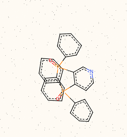 O=P(c1ccccc1)(c1ccccc1)c1ccncc1P(=O)(c1ccccc1)c1ccccc1